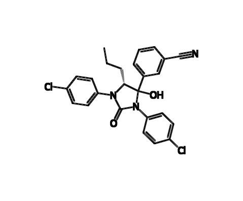 CCC[C@H]1N(c2ccc(Cl)cc2)C(=O)N(c2ccc(Cl)cc2)C1(O)c1cccc(C#N)c1